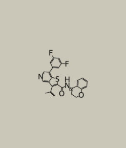 C=C(C)c1c(C(=O)N[C@H]2CCOc3ccccc32)sc2c(-c3cc(F)cc(F)c3)cncc12